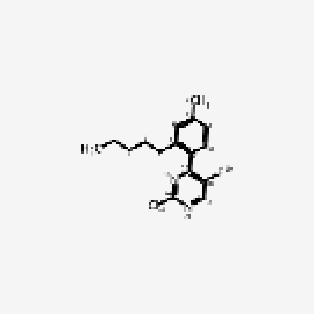 CCCCCc1cc(C)ccc1-c1nc(Cl)ncc1F